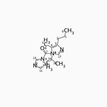 CCCC1=C(C)[N+](C(=O)n2ccnc2)(C(C)C)C=N1